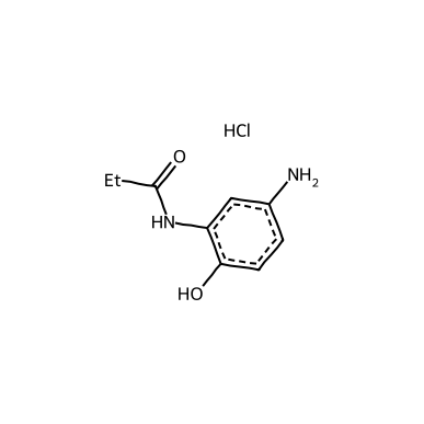 CCC(=O)Nc1cc(N)ccc1O.Cl